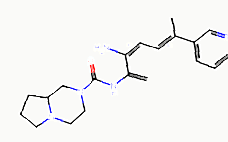 C=C(NC(=O)N1CCN2CCCC2C1)/C(N)=C\C=C(/C)c1cccnc1